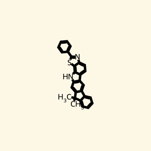 CC1(C)c2ccccc2-c2cc3c(cc21)[nH]c1c3ccc2nc(-c3ccccc3)sc21